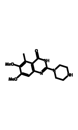 COc1cc2nc(N3CCNCC3)[nH]c(=O)c2c(C)c1OC